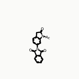 CC(=O)N1C(=O)Cc2ccc(N3C(=O)c4ccccc4C3=O)cc21